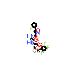 COC(=O)C[C@H](NC(=O)[C@H](C)NC(=O)c1cc(-c2ccccc2F)on1)C(=O)COc1c(C)c(F)cc(F)c1F